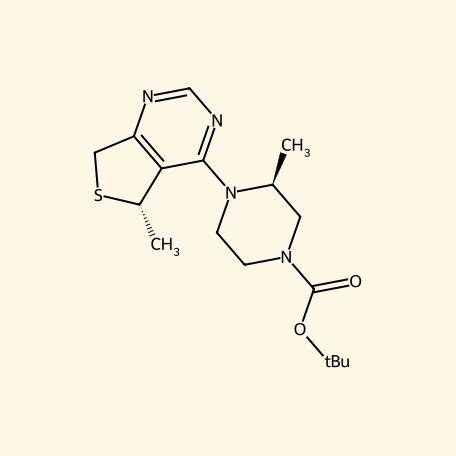 C[C@@H]1SCc2ncnc(N3CCN(C(=O)OC(C)(C)C)C[C@@H]3C)c21